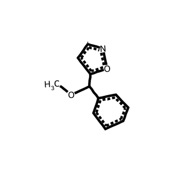 COC(c1ccccc1)c1c[c]no1